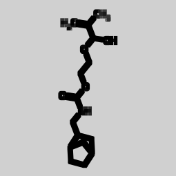 C=C(C)C(O)OCCOC(=O)NCC1CC2CCC1C2